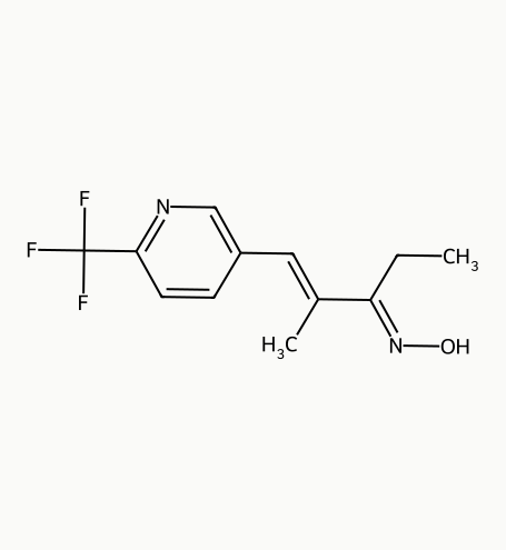 CCC(=N\O)/C(C)=C/c1ccc(C(F)(F)F)nc1